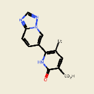 CCc1cc(C(=O)O)c(=O)[nH]c1-c1ccc2ncnn2c1